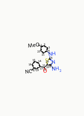 COc1ccc(Nc2nc(N)c(C(=O)c3cccc(C#N)c3)s2)cc1